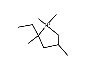 CCC1(C)CC(C)C[N+]1(C)C